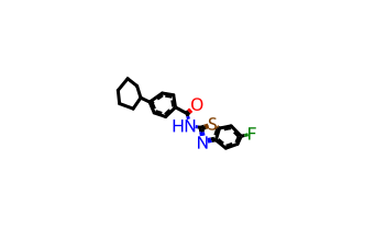 O=C(Nc1nc2ccc(F)cc2s1)c1ccc(C2CCCCC2)cc1